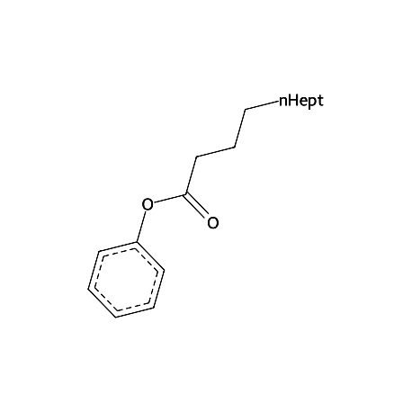 CCCCCCCCCCC(=O)Oc1ccccc1